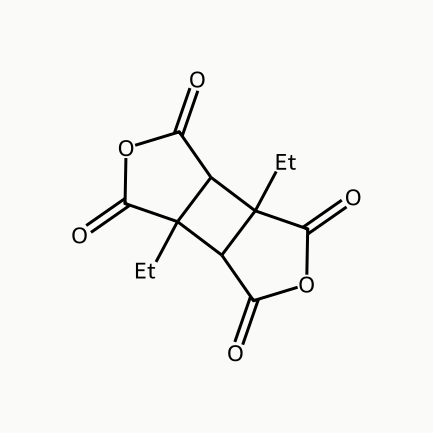 CCC12C(=O)OC(=O)C1C1(CC)C(=O)OC(=O)C21